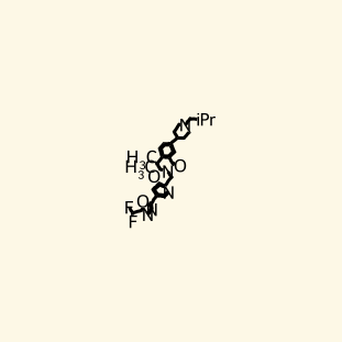 CC(C)CN1CCC(c2ccc3c(c2)C(=O)N(Cc2ccc(-c4nnc(C(F)F)o4)cn2)C(=O)C3(C)C)CC1